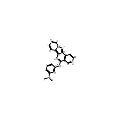 CN(C)c1cccc(Nc2nc3c(nn4cnccc34)c3ccncc23)c1